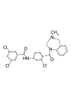 CN1CCN(C(=O)c2ccc(NC(=O)c3cc(Cl)cc(Cl)c3)cc2Cl)c2ccccc2C1